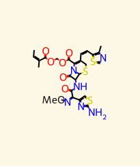 C/C=C(/C)C(=O)OCOC(=O)C1=C(/C=C\c2scnc2C)CSC2C(NC(=O)/C(=N\OC)c3csc(N)n3)C(=O)N12